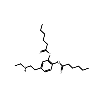 CCCCCC(=O)Oc1ccc(CCNCC)cc1OC(=O)CCCCC